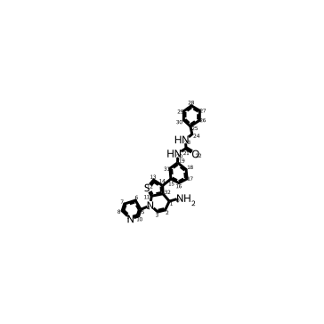 NC1C=CN(c2cccnc2)c2scc(-c3cccc(NC(=O)NCc4ccccc4)c3)c21